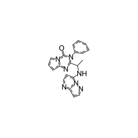 CC(Nc1ccnc2ccnn12)c1nc2cccn2c(=O)n1-c1ccccc1